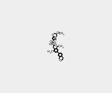 CCc1cc(-c2ccc3c(c2)COCC3)cc(C)c1CC(=O)NS(=O)(=O)c1cc2n(n1)CC(OC)CO2